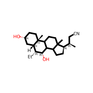 CC[C@H]1[C@@H](O)C2C3CC[C@H]([C@H](C)CC#N)C3(C)CCC2[C@@]2(C)CC[C@@H](O)C[C@@H]12